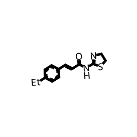 CCc1ccc(/C=C/C(=O)NC2=NCCS2)cc1